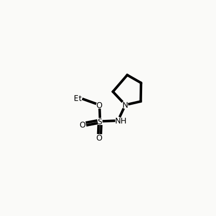 CCOS(=O)(=O)NN1CCCC1